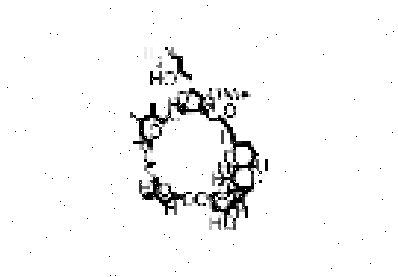 C=C1C[C@@H]2CC[C@]34CC(O)[C@H](O3)C3O[C@H]5CC[C@H](CC(=O)C[C@@H]6[C@@H](OC)[C@@H](C[C@H](O)CN)O[C@H]6C[C@H]6O[C@@H](CC[C@@H]1O2)C[C@@H](C)C6=C)O[C@@H]5[C@H](O4)[C@@H]3C